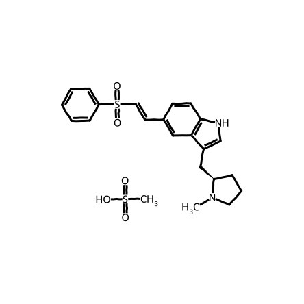 CN1CCC[C@@H]1Cc1c[nH]c2ccc(/C=C/S(=O)(=O)c3ccccc3)cc12.CS(=O)(=O)O